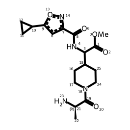 COC(=O)C(NC(=O)c1cc(C2CC2)on1)C1CCN(C(=O)[C@@H](C)N)CC1